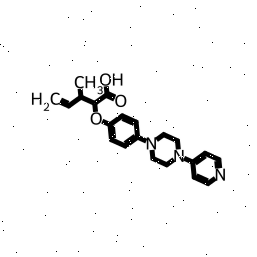 C=CC(C)C(Oc1ccc(N2CCN(c3ccncc3)CC2)cc1)C(=O)O